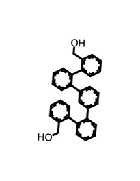 OCc1ccccc1-c1ccccc1-c1cccc(-c2ccccc2-c2ccccc2CO)c1